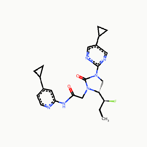 CC[C@H](F)[C@H]1CN(c2ncc(C3CC3)cn2)C(=O)N1CC(=O)Nc1cc(C2CC2)ccn1